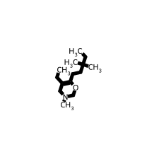 CCC1=C(CCC(C)(C)CC)OCN(C)C1